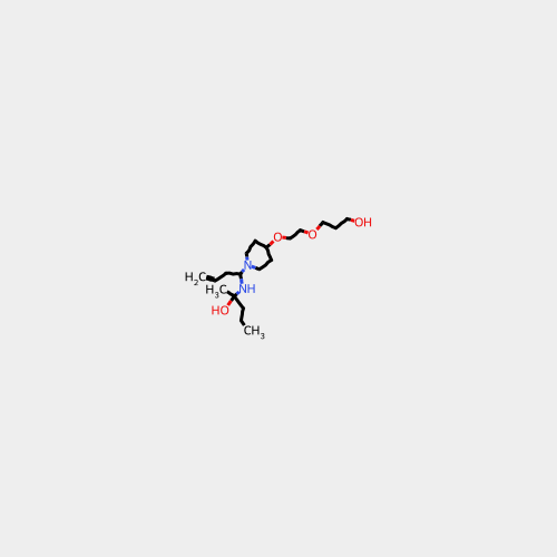 C=CCC(NC(C)(O)CCC)N1CCC(OCCOCCCO)CC1